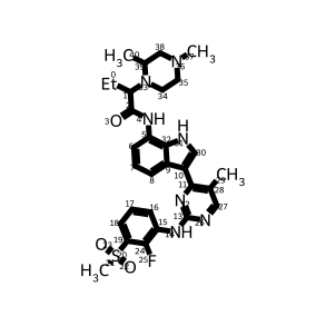 CCC(C(=O)Nc1cccc2c(-c3nc(Nc4cccc(S(C)(=O)=O)c4F)ncc3C)c[nH]c12)N1CCN(C)CC1C